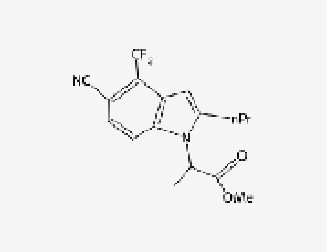 CCCc1cc2c(C(F)(F)F)c(C#N)ccc2n1C(C)C(=O)OC